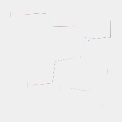 CCN(OCCO)OCCO.OB(O)O